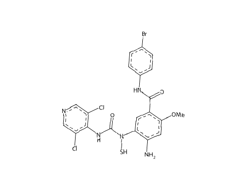 COc1cc(N)c(N(S)C(=O)Nc2c(Cl)cncc2Cl)cc1C(=O)Nc1ccc(Br)cc1